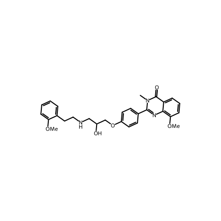 COc1ccccc1CCNCC(O)COc1ccc(-c2nc3c(OC)cccc3c(=O)n2C)cc1